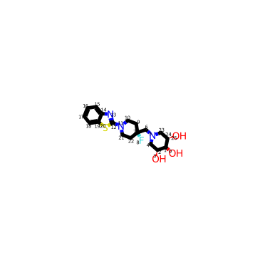 OC1[C@H](O)CN(CC2(F)CCN(c3nc4ccccc4s3)CC2)C[C@@H]1O